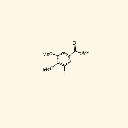 COC(=O)c1cc(I)c(OC)c(OC)c1